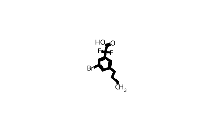 CCCCc1cc(Br)cc(C(F)(F)C(=O)O)c1